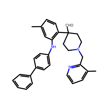 Cc1ccc(C2(C=O)CCN(Cc3ncccc3C)CC2)c(Nc2ccc(-c3ccccc3)cc2)c1